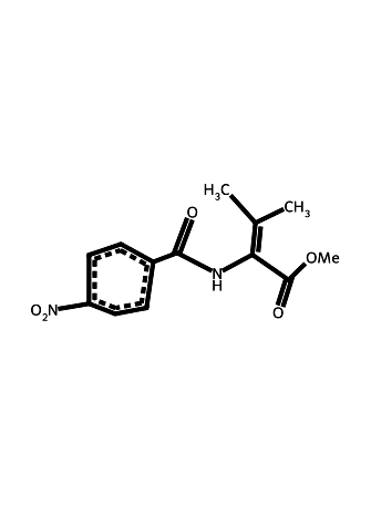 COC(=O)C(NC(=O)c1ccc([N+](=O)[O-])cc1)=C(C)C